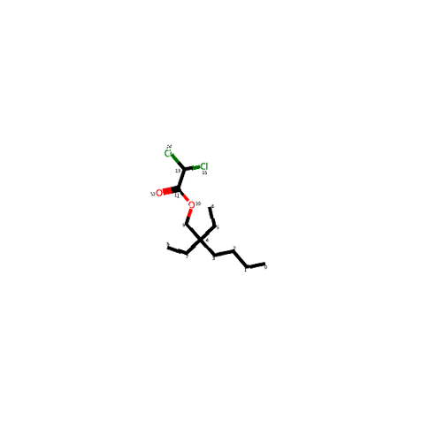 CCCCC(CC)(CC)COC(=O)C(Cl)Cl